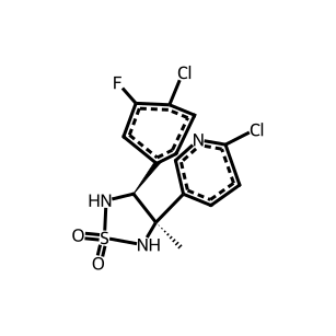 C[C@]1(c2ccc(Cl)nc2)NS(=O)(=O)N[C@H]1c1ccc(Cl)c(F)c1